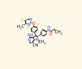 C=CC(=O)Nc1ccc(-c2c(-c3cc(F)c(Oc4ncc(F)c(C)n4)c(F)c3)c3c(N)ncc(C#N)c3n2C)cc1